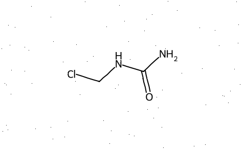 NC(=O)NCCl